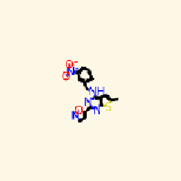 Cc1cc2c(NCc3cccc([N+](=O)[O-])c3)nc(-c3ccno3)nc2s1